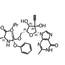 C#C[C@@]1(O)[C@H](O)[C@@H](COP(=S)(N[C@@H](C)C(=O)OC(C)C)Oc2ccccc2)O[C@H]1n1cnc2c(=O)[nH]c(C)nc21